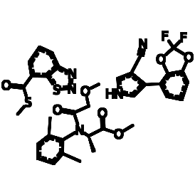 COCC(=O)N(c1c(C)cccc1C)[C@H](C)C(=O)OC.CSC(=O)c1cccc2nnsc12.N#Cc1c[nH]cc1-c1cccc2c1OC(F)(F)O2